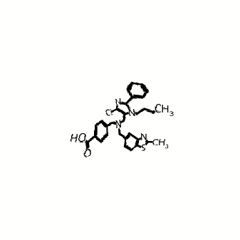 CCCCn1c(-c2ccccc2)nc(Cl)c1CN(Cc1ccc(C(=O)O)cc1)Cc1ccc2sc(C)nc2c1